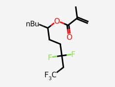 C=C(C)C(=O)OC(CCCC)CCC(F)(F)CC(F)(F)F